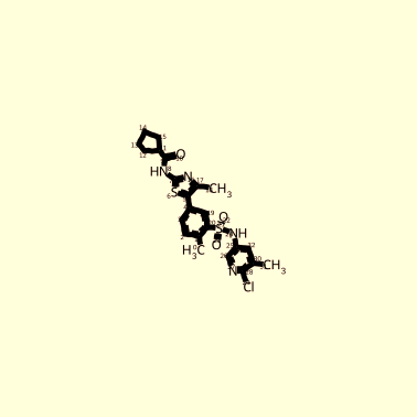 Cc1ccc(-c2sc(NC(=O)C3CCCC3)nc2C)cc1S(=O)(=O)Nc1cnc(Cl)c(C)c1